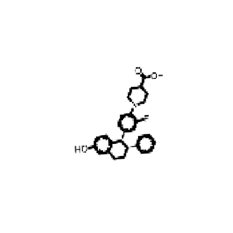 O=C(O)C1CCN(c2ccc([C@@H]3c4ccc(O)cc4CC[C@@H]3c3ccccc3)cc2F)CC1